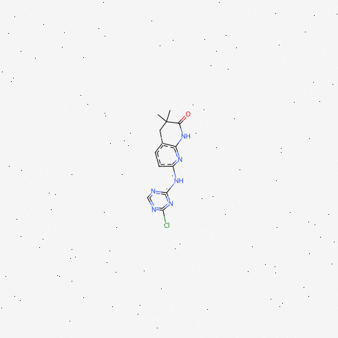 CC1(C)Cc2ccc(Nc3ncnc(Cl)n3)nc2NC1=O